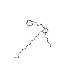 CCCCCCCCCCCCCCc1n(CCCCC)cc[n+]1CCCc1ccccc1